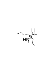 CCCC[Si](CCC)(NC)NC